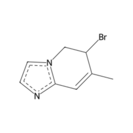 CC1=Cc2nccn2CC1Br